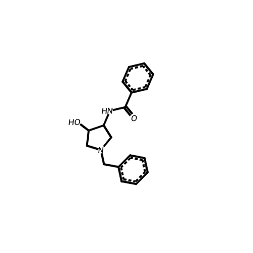 O=C(NC1CN(Cc2ccccc2)CC1O)c1ccccc1